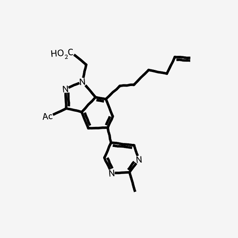 C=CCCCCc1cc(-c2cnc(C)nc2)cc2c(C(C)=O)nn(CC(=O)O)c12